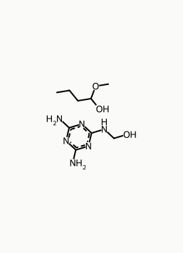 CCCC(O)OC.Nc1nc(N)nc(NCO)n1